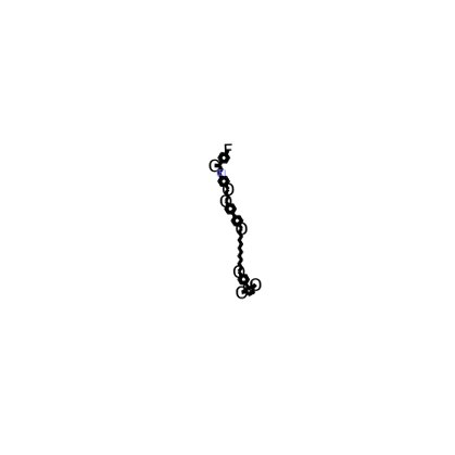 O=C(/C=C/c1ccc(OCCOc2ccc(-c3ccc(OCCCCCCCCCCOc4ccc(N5C(=O)C=CC5=O)cc4)cc3)cc2)cc1)c1ccc(F)cc1